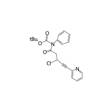 CC(C)(C)OC(=O)N(C(=O)CC(Cl)C#Cc1ccccn1)c1ccccc1